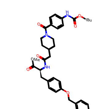 COC(=O)[C@H](Cc1ccc(OCc2ccccc2)cc1)NC(=O)CC1CCN(C(=O)c2ccc(NC(=O)OC(C)(C)C)cc2)CC1